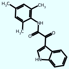 Cc1cc(C)c(NC(=O)C(=O)c2c[nH]c3ccccc23)c(C)c1